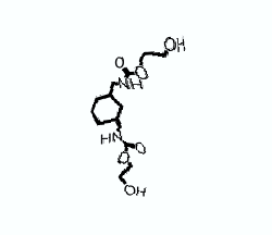 O=C(NCC1CCCC(CNC(=O)OCCO)C1)OCCO